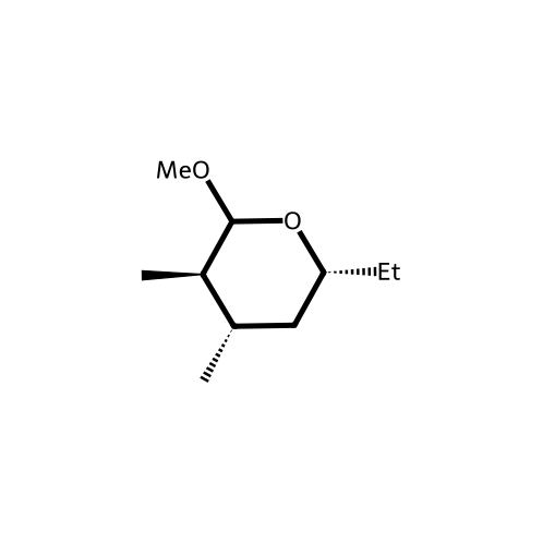 CC[C@@H]1C[C@H](C)[C@@H](C)C(OC)O1